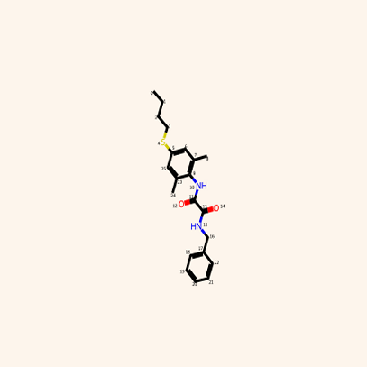 CCCCSc1cc(C)c(NC(=O)C(=O)NCc2ccccc2)c(C)c1